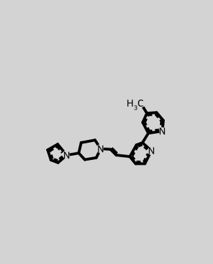 Cc1ccnc(-c2cc(C=CN3CCC(n4cccc4)CC3)ccn2)c1